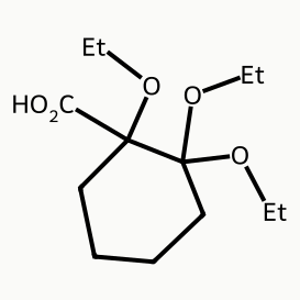 CCOC1(OCC)CCCCC1(OCC)C(=O)O